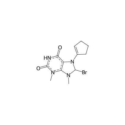 CN1c2c(c(=O)[nH]c(=O)n2C)N(C2=CCCC2)C1Br